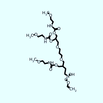 C=COON(O)CCC(COCCCOCC(COC(=O)NCCOC)OC(=O)NCCOC)COC(=O)NCCOC